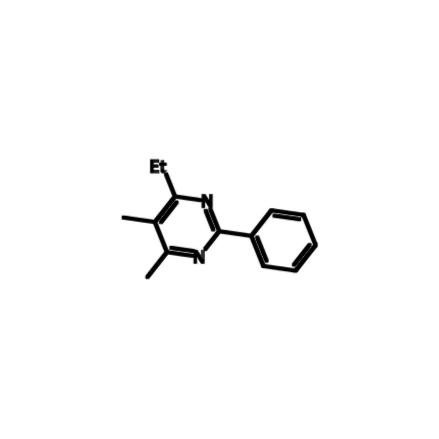 CCc1nc(-c2ccccc2)nc(C)c1C